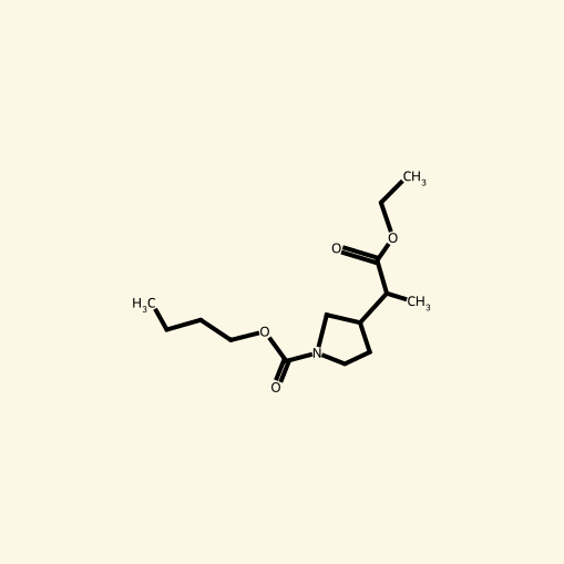 CCCCOC(=O)N1CCC(C(C)C(=O)OCC)C1